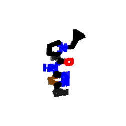 CC(C)(C)c1nnc(NC(=O)[C@@H]2CCCN2CC2CC2)s1